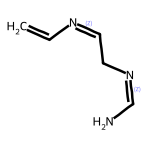 C=C/N=C\C/N=C\N